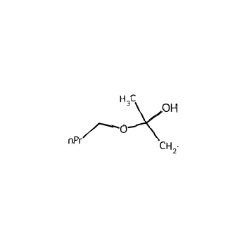 [CH2]C(C)(O)OCCCC